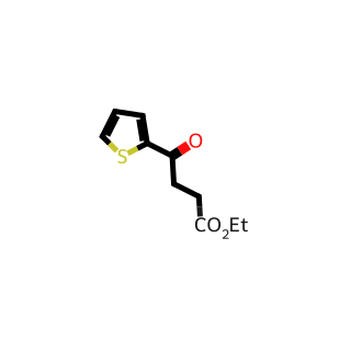 CCOC(=O)CCC(=O)c1cccs1